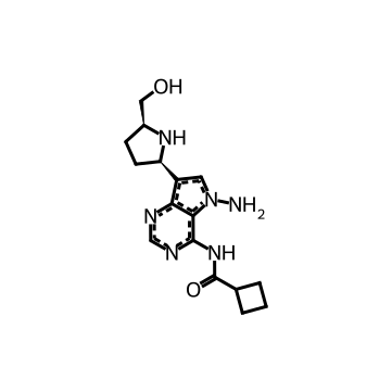 Nn1cc([C@H]2CC[C@@H](CO)N2)c2ncnc(NC(=O)C3CCC3)c21